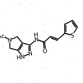 CC(=O)N1Cc2[nH]nc(NC(=O)C=Cc3cccs3)c2C1